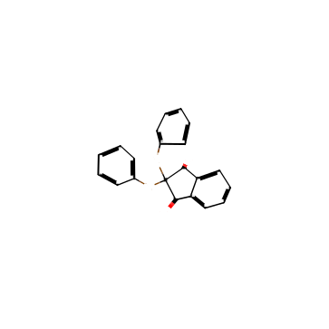 O=C1c2ccccc2C(=O)C1(Sc1ccccc1)Sc1ccccc1